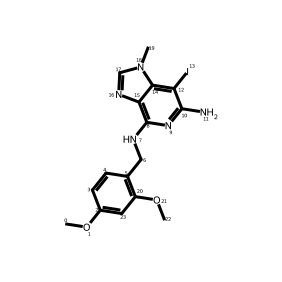 COc1ccc(CNc2nc(N)c(I)c3c2ncn3C)c(OC)c1